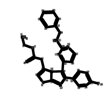 CCOC(=O)Cc1csc2nc(-c3ccc(F)cc3)c(-c3ccnc(NCc4ccccc4)n3)n12